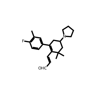 Cc1cc(C2=C(C=CC=O)C(C)(C)CC(N3CCCC3)C2)ccc1F